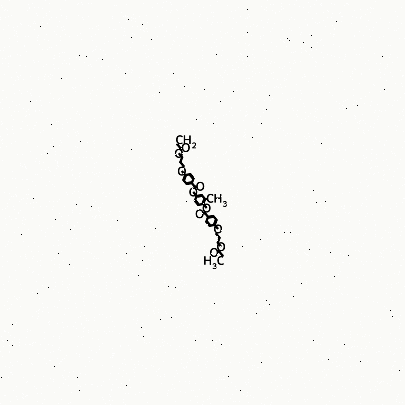 C=CC(=O)OCCCOc1ccc(C(=O)Oc2ccc(OC(=O)c3ccc(OCCCOC(=O)CC)cc3)c(C)c2)cc1